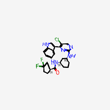 O=C(N[C@H]1CCC[C@@H](Nc2ncc(Cl)c(-c3c[nH]c4ccccc34)n2)C1)[C@H]1CCC(F)(F)C1